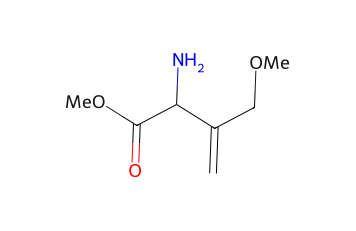 C=C(COC)C(N)C(=O)OC